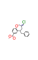 COC(=O)c1ccc2c(c1)C(Cc1ccccc1)C/C(=C/Cl)CO2